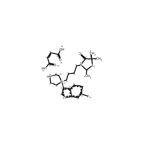 CC1SC(C)(C)C(=O)N1CCCC[N+]1(c2csc3cc(F)ccc23)CCNCC1.O=C(O)/C=C\C(=O)O